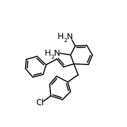 NC1=CC=CC(C=Cc2ccccc2)(Cc2ccc(Cl)cc2)C1N